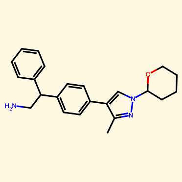 Cc1nn(C2CCCCO2)cc1-c1ccc(C(CN)c2ccccc2)cc1